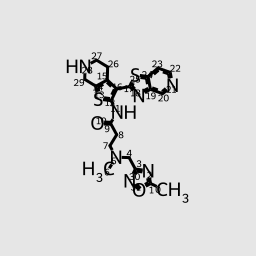 Cc1nc(CN(C)CCC(=O)Nc2sc3c(c2-c2nc4cnccc4s2)CCNC3)no1